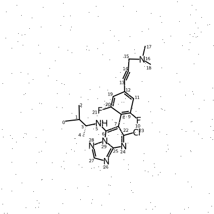 CC(C)[C@@H](C)Nc1c(-c2c(F)cc(C#CCN(C)C)cc2F)c(Cl)nc2ncnn12